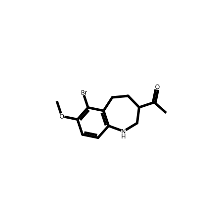 COc1ccc2c(c1Br)CCC(C(C)=O)CN2